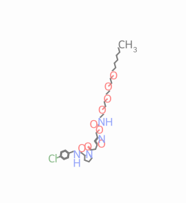 CCCCCCCCOCCOCCOCCOCCNC(=O)OCc1cc(CC(=O)N2CCCC2C(=O)NCc2ccc(Cl)cc2)on1